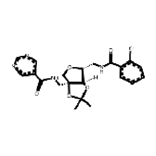 CC1(C)O[C@@H]2[C@@H](CNC(=O)c3ccccc3Cl)OC[C@]2(CNC(=O)c2cncnc2)O1